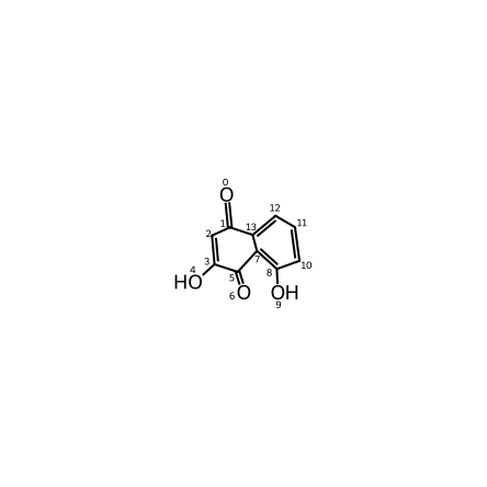 O=C1C=C(O)C(=O)c2c(O)cccc21